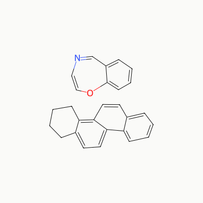 C1=COc2ccccc2C=N1.c1ccc2c(c1)ccc1c3c(ccc12)CCCC3